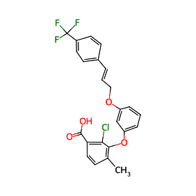 Cc1ccc(C(=O)O)c(Cl)c1Oc1cccc(OC/C=C/c2ccc(C(F)(F)F)cc2)c1